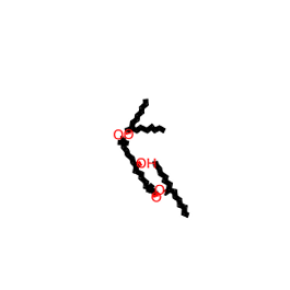 CCCCCCCC(CCCCCCC)COC(=O)C(C)(C)CCCCCC(O)CCCCCC(C)(C)C(=O)OCC(CCCCCCC)CCCCCCC